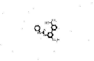 NC(O)c1cccc(-c2cc(OC(=O)NC3CCCCC3)cc(C(=O)O)c2)c1